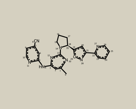 Cc1cc(Nc2cc(C#N)ccn2)nc(N2CCC[C@H]2c2cc(-c3ccccn3)no2)n1